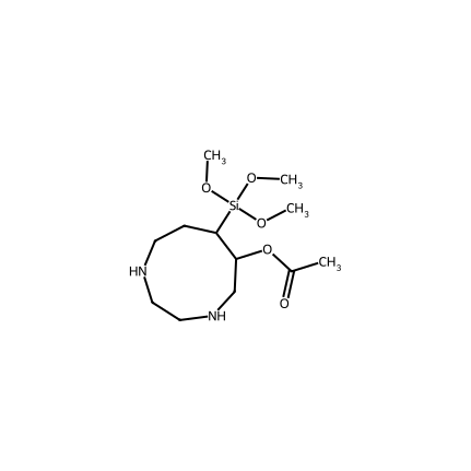 CO[Si](OC)(OC)C1CCNCCNCC1OC(C)=O